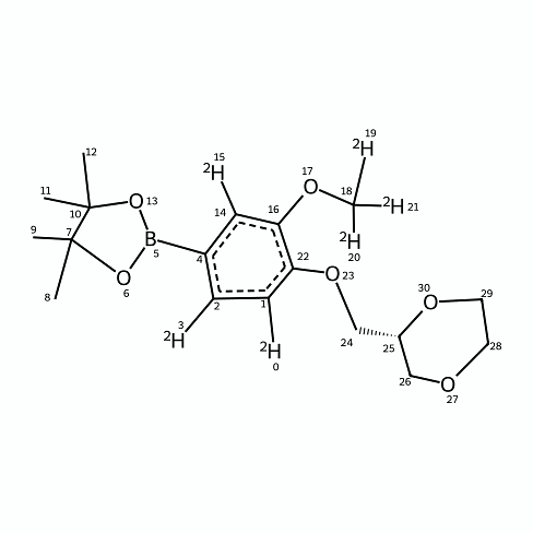 [2H]c1c([2H])c(B2OC(C)(C)C(C)(C)O2)c([2H])c(OC([2H])([2H])[2H])c1OC[C@H]1COCCO1